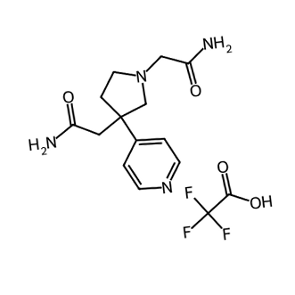 NC(=O)CN1CCC(CC(N)=O)(c2ccncc2)C1.O=C(O)C(F)(F)F